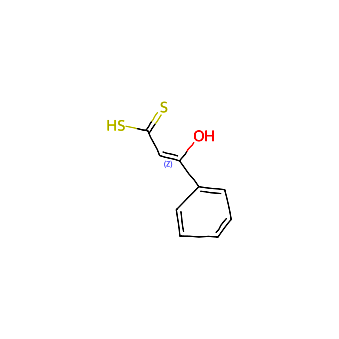 O/C(=C\C(=S)S)c1ccccc1